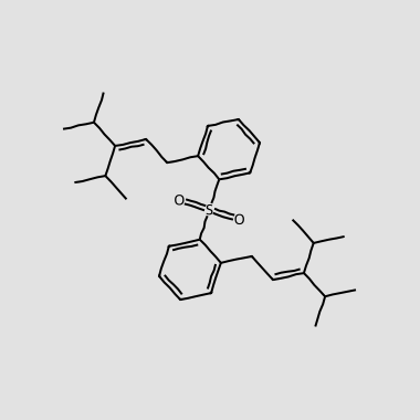 CC(C)C(=CCc1ccccc1S(=O)(=O)c1ccccc1CC=C(C(C)C)C(C)C)C(C)C